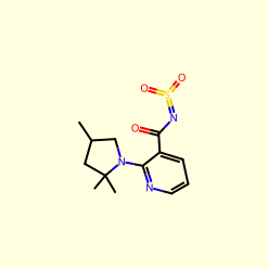 CC1CN(c2ncccc2C(=O)N=S(=O)=O)C(C)(C)C1